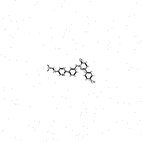 CN(C)/C=N/c1cnc(-c2cccc(Cn3nc(-c4ccc(C#N)cc4)ccc3=O)c2)nc1